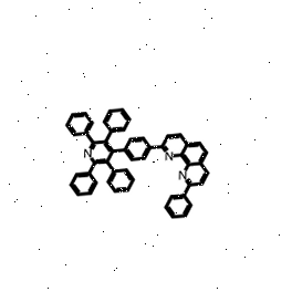 c1ccc(-c2ccc3ccc4ccc(-c5ccc(-c6c(-c7ccccc7)c(-c7ccccc7)nc(-c7ccccc7)c6-c6ccccc6)cc5)nc4c3n2)cc1